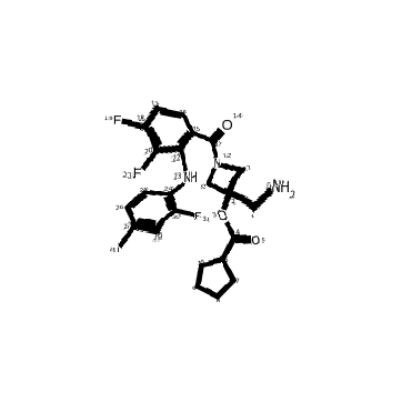 NCC1(OC(=O)C2CCCC2)CN(C(=O)c2ccc(F)c(F)c2Nc2ccc(I)cc2F)C1